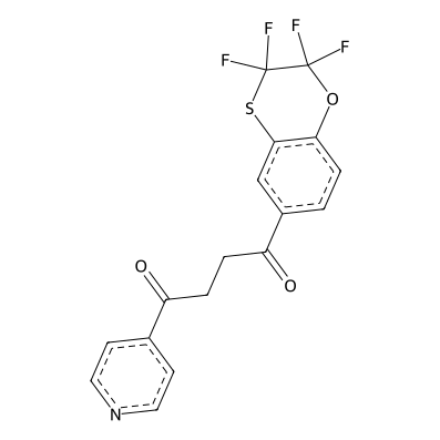 O=C(CCC(=O)c1ccc2c(c1)SC(F)(F)C(F)(F)O2)c1ccncc1